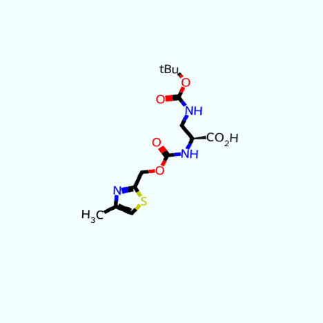 Cc1csc(COC(=O)N[C@@H](CNC(=O)OC(C)(C)C)C(=O)O)n1